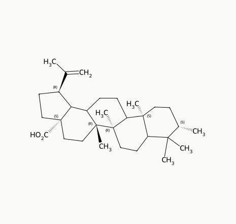 C=C(C)[C@@H]1CC[C@]2(C(=O)O)CC[C@]3(C)C(CCC4[C@@]5(C)CC[C@H](C)C(C)(C)C5CC[C@]43C)C12